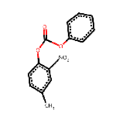 Cc1ccc(OC(=O)Oc2ccccc2)c([N+](=O)[O-])c1